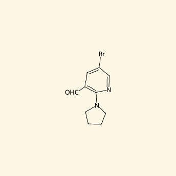 O=Cc1cc(Br)cnc1N1CCCC1